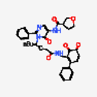 CCCCC(CCC(=O)NCC1=C(c2ccccc2)C=CC(=O)C1=O)n1c(-c2ccccc2)ncc(NC(=O)C2CCOC2)c1=O